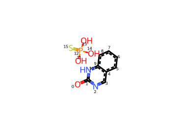 O=c1ncc2ccccc2[nH]1.OP(O)(O)=S